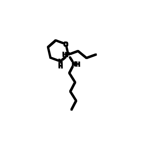 CCCCCN[PH]1(CCC)NCCCO1